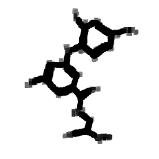 COC(=O)CNC(=O)c1cc(F)cc(Oc2ccc(C)cc2F)c1